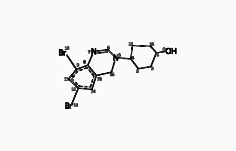 OC1CCC(N2C=Nc3c(Br)cc(Br)cc3C2)CC1